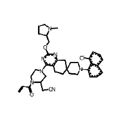 C=CC(=O)N1CCN(c2nc(OCC3CCCN3C)nc3c2CCC2(CCN(c4cccc5cccc(Cl)c45)CC2)C3)CC1CC#N